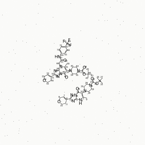 Cc1[nH]c2nc(C3=CCOCC3)nn2c(=O)c1N1CCN(C(=O)OC(C)(C)C)CC1.Cc1c(N2CCN(C(=O)OC(C)(C)C)CC2)c(=O)n2nc(C3=CCOCC3)nc2n1CC(=O)Nc1ccc(C(F)(F)F)cc1